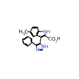 Cc1ccc2[nH]c(C(=O)O)c(-c3[nH]cnc3-c3ccccc3)c2c1